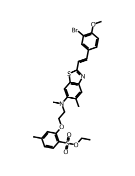 CCOS(=O)(=O)c1ccc(C)cc1OCCN(C)c1cc2sc(/C=C/c3ccc(OC)c(Br)c3)nc2cc1C